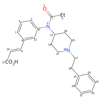 CCC(=O)N(c1cccc(/C=C/C(=O)O)c1)C1CCN(CCc2ccccc2)CC1